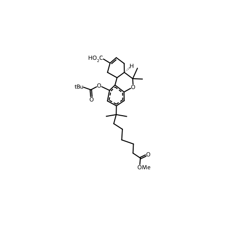 COC(=O)CCCCCC(C)(C)c1cc(OC(=O)C(C)(C)C)c2c(c1)OC(C)(C)[C@@H]1CC=C(C(=O)O)CC21